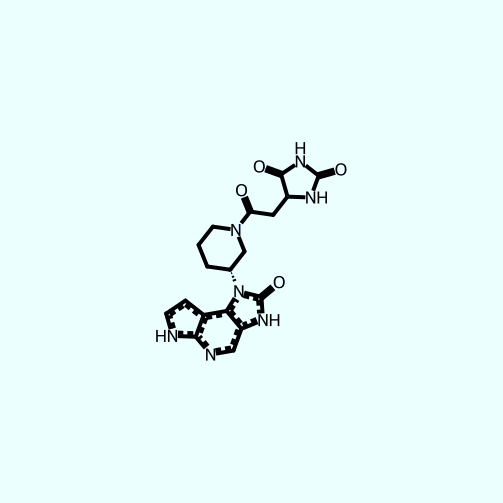 O=C1NC(=O)C(CC(=O)N2CCC[C@@H](n3c(=O)[nH]c4cnc5[nH]ccc5c43)C2)N1